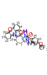 CCCN=S(=O)(N[C@H]1CCCC[C@@H](N2c3ccccc3Oc3ccccc32)[C@H]1O)c1ccc(OC(F)(F)F)cc1